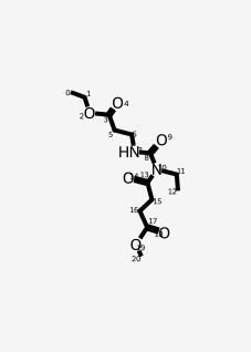 CCOC(=O)CCNC(=O)N(CC)C(=O)CCC(=O)OC